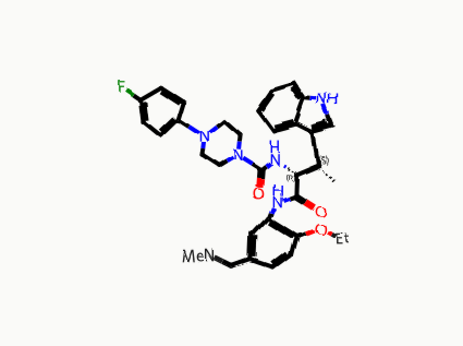 CCOc1ccc(CNC)cc1NC(=O)[C@H](NC(=O)N1CCN(c2ccc(F)cc2)CC1)[C@@H](C)c1c[nH]c2ccccc12